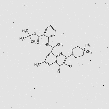 Cc1cc(C(C)Nc2ccccc2C(=O)OC(C)(C)C)c2nc(N3CCC(C)(C)CC3)c(Cl)c(=O)n2c1